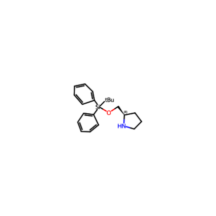 CC(C)(C)[Si](OC[C@H]1CCCN1)(c1ccccc1)c1ccccc1